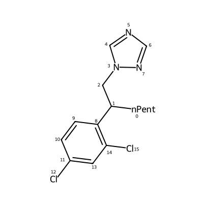 CCCCCC(Cn1cncn1)c1ccc(Cl)cc1Cl